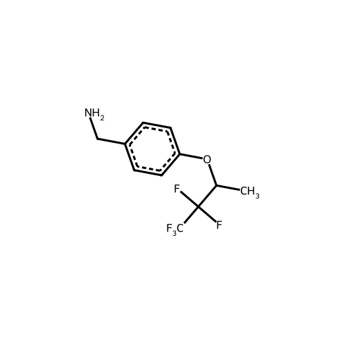 CC(Oc1ccc(CN)cc1)C(F)(F)C(F)(F)F